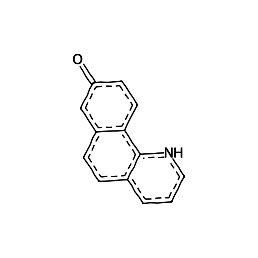 O=c1ccc2c(ccc3ccc[nH]c32)c1